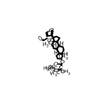 C[SiH](C)OC(CC(C)(C)C)O[C@H]1CC[C@@]2(C)[C@H](CC[C@@H]3[C@@H]2CC[C@@]2(C)[C@H]3CC[C@@]2(OCC=O)c2ccoc2)C1